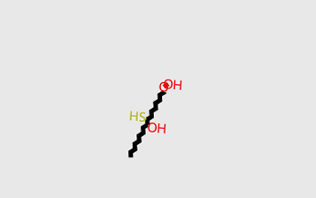 CCCCCCCCC(O)C(S)CCCCCCCOO